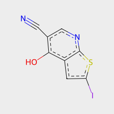 N#Cc1cnc2sc(I)cc2c1O